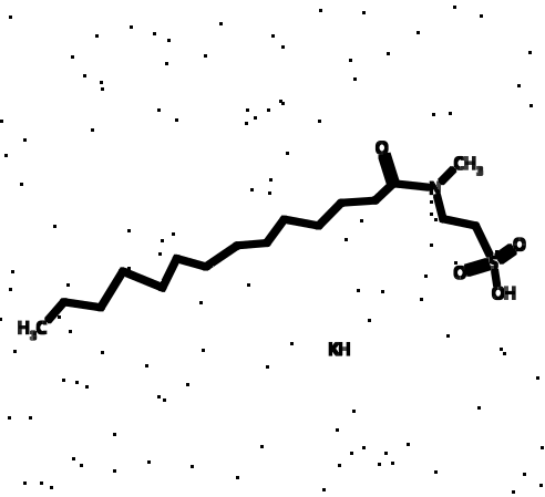 CCCCCCCCCCCCCC(=O)N(C)CCS(=O)(=O)O.[KH]